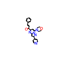 O=C(C=Cc1ccccc1)c1cc(N2CCOCC2)n2nc(-c3ccncc3)cc2n1